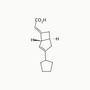 O=C(O)C=C1C[C@H]2CC(C3CCCC3)=C[C@H]12